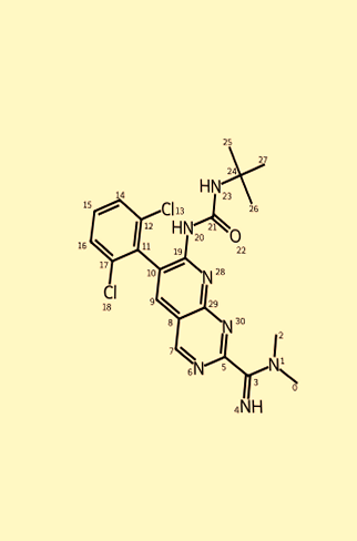 CN(C)C(=N)c1ncc2cc(-c3c(Cl)cccc3Cl)c(NC(=O)NC(C)(C)C)nc2n1